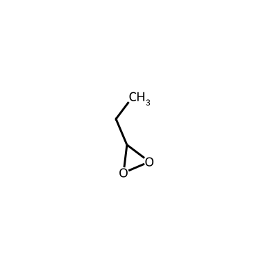 CCC1OO1